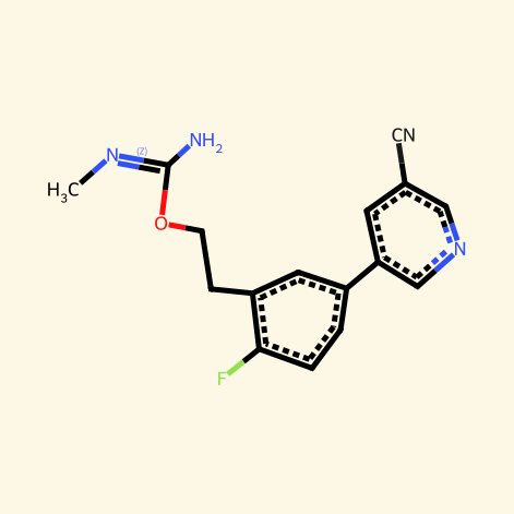 C/N=C(/N)OCCc1cc(-c2cncc(C#N)c2)ccc1F